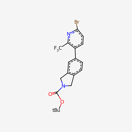 CC(C)(C)OC(=O)N1Cc2ccc(-c3ccc(Br)nc3C(F)(F)F)cc2C1